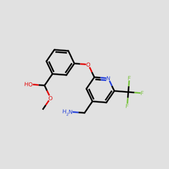 COC(O)c1cccc(Oc2cc(CN)cc(C(F)(F)F)n2)c1